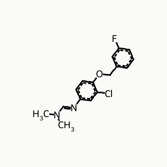 CN(C)C=Nc1ccc(OCc2cccc(F)c2)c(Cl)c1